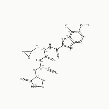 COc1ccc2[nH]c(C(=O)N[C@@H](CC3CC3)C(=O)N[C@H](C#N)CC3CCNC3=O)cc2c1Cl